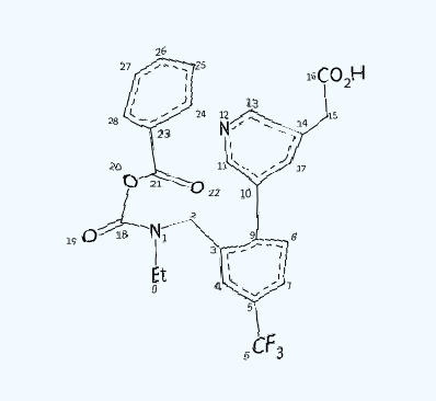 CCN(Cc1cc(C(F)(F)F)ccc1-c1cncc(CC(=O)O)c1)C(=O)OC(=O)c1ccccc1